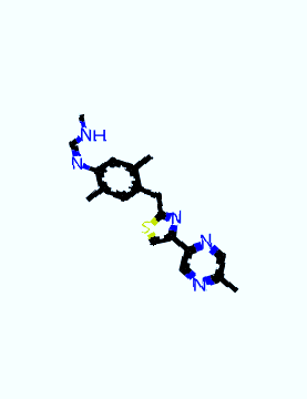 CN/C=N\c1cc(C)c(Cc2nc(-c3cnc(C)cn3)cs2)cc1C